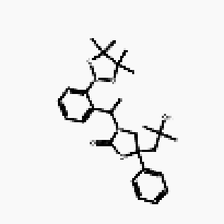 CC(c1ccccc1B1OC(C)(C)C(C)(C)O1)N1C[C@](CC(C)(C)O)(c2ccccc2)OC1=O